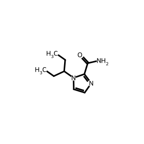 CCC(CC)n1ccnc1C(N)=O